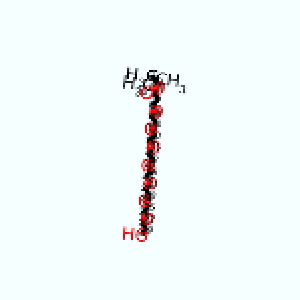 CC(C)(C)OC(=O)CCOCCOCCOCCOCCOCCOCCOCCO